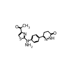 CC(=O)c1csc(N(N)c2ccc(C3=NNC(=O)CC3)cc2)n1